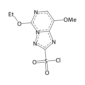 CCOc1ncc(OC)c2nc(S(=O)(=O)Cl)nn12